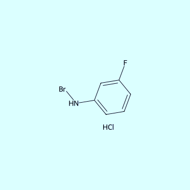 Cl.Fc1cccc(NBr)c1